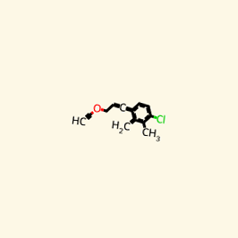 C#COCC=C=c1ccc(Cl)c(C)c1=C